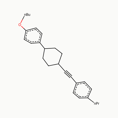 CCCCOc1ccc(C2CCC(C#Cc3ccc(CCC)cc3)CC2)cc1